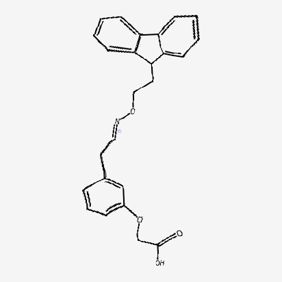 O=C(O)COc1cccc(C/C=N/OCCC2c3ccccc3-c3ccccc32)c1